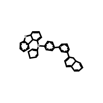 C1=CC2=CC=C(c3cccc(-c4ccc(N(C5=CCCC=C5)C5=CC=CC6Sc7ccccc7C56)cc4)c3)CC2C=C1